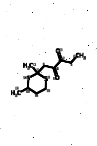 CCC(=O)C(=O)CC1(C)SCCC(C)S1